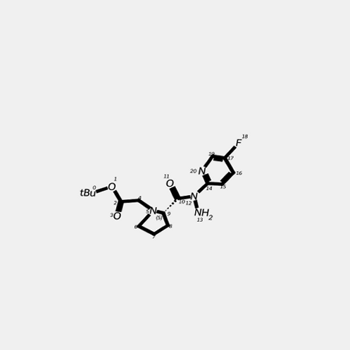 CC(C)(C)OC(=O)CN1CCC[C@H]1C(=O)N(N)c1ccc(F)cn1